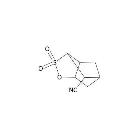 N#CC1C2CC3OS(=O)(=O)C1C3C2